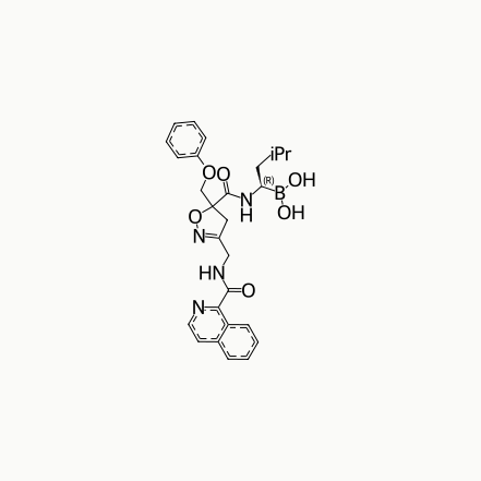 CC(C)C[C@H](NC(=O)C1(COc2ccccc2)CC(CNC(=O)c2nccc3ccccc23)=NO1)B(O)O